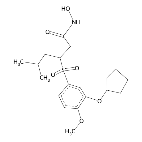 COc1ccc(S(=O)(=O)C(CC(=O)NO)CC(C)C)cc1OC1CCCC1